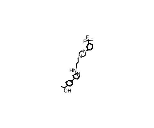 CC(O)c1ccc(-c2ccnc(NCCCCN3CCN(c4cccc(C(F)(F)F)c4)CC3)c2)cc1